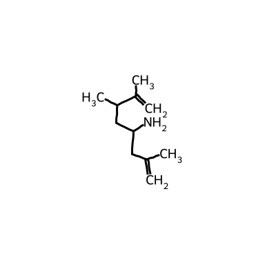 C=C(C)CC(N)CC(C)C(=C)C